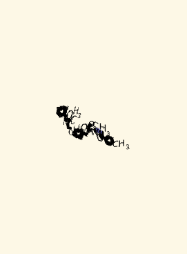 C/C(=C/C(=O)c1ccc(C)cc1)N[C@@H](Cc1ccc(OCCc2nc(-c3ccccc3)oc2C)cc1)C(=O)O